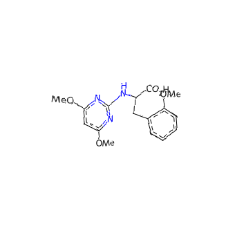 COc1cc(OC)nc(NC(Cc2ccccc2OC)C(=O)O)n1